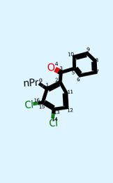 CCCc1c(C(=O)c2ccccc2)ccc(Cl)c1Cl